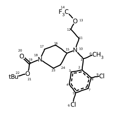 CC(c1ccc(Cl)cc1Cl)N(CCOC(F)(F)F)C1CCN(C(=O)OC(C)(C)C)CC1